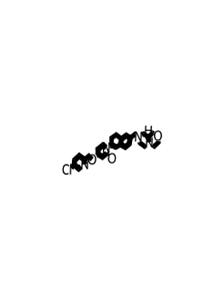 O=c1cc(OCc2ccc(Cl)cn2)ccn1C1=Cc2ccc(CN3CCN4CCOC[C@@H]4C3)cc2CC1